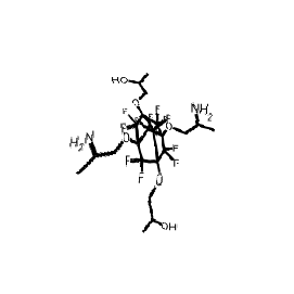 CC(N)COC12C(F)(F)C3(OCC(C)N)C(F)(F)C(OCC(C)O)(C1(F)F)C(F)(F)C(OCC(C)O)(C2(F)F)C3(F)F